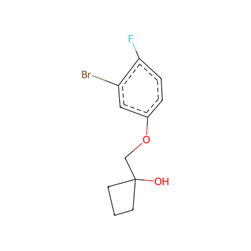 OC1(COc2ccc(F)c(Br)c2)CCC1